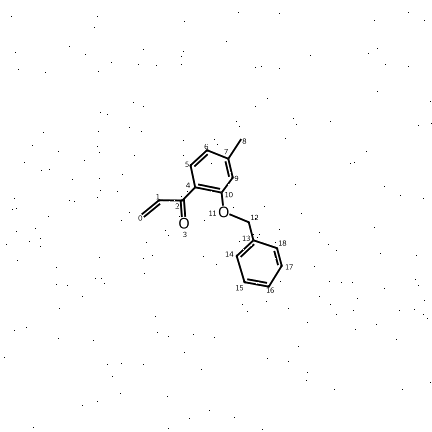 C=CC(=O)c1ccc(C)cc1OCc1ccccc1